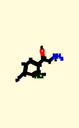 Cl.NCC(=O)c1ccc(I)cc1